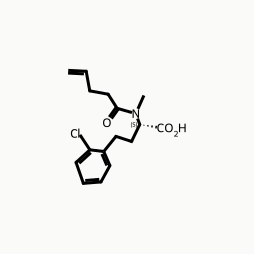 C=CCCC(=O)N(C)[C@@H](CCc1ccccc1Cl)C(=O)O